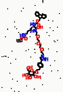 CC(C)(C)OC(=O)NCCCC[C@H](NC(=O)OCC1c2ccccc2-c2ccccc21)C(O)NCCOCCOCCOCCn1cc(-c2ccc(CCO[C@@H]3O[C@H](CO)[C@@H](O)[C@H](O)[C@H]3O)cc2)[nH]1